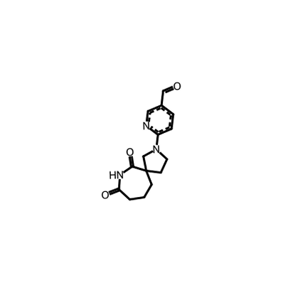 O=Cc1ccc(N2CCC3(CCCC(=O)NC3=O)C2)nc1